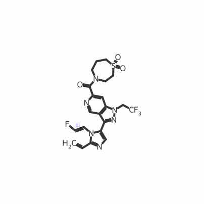 C=Cc1ncc(-c2nn(CC(F)(F)F)c3cc(C(=O)N4CCCS(=O)(=O)CC4)ncc23)n1/C=C/F